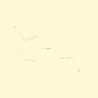 CC(C)(C)CCOc1cccc(Br)c1